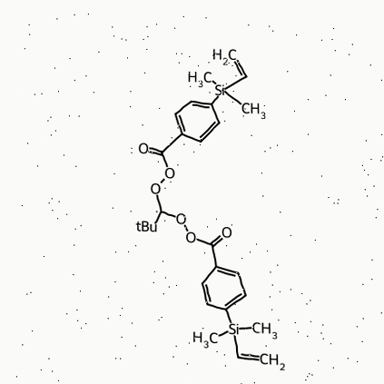 [CH2]C(C)(C)[C](OOC(=O)c1ccc([Si](C)(C)C=C)cc1)OOC(=O)c1ccc([Si](C)(C)C=C)cc1